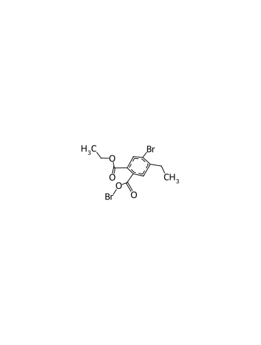 CCOC(=O)c1cc(Br)c(CC)cc1C(=O)OBr